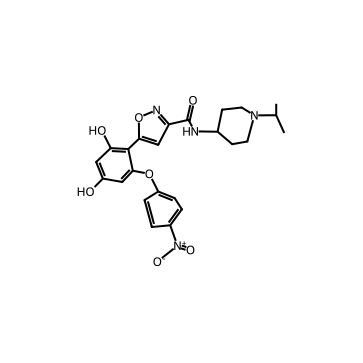 CC(C)N1CCC(NC(=O)c2cc(-c3c(O)cc(O)cc3Oc3ccc([N+](=O)[O-])cc3)on2)CC1